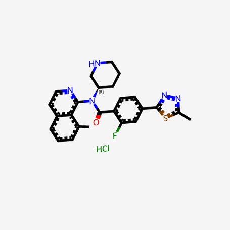 Cc1nnc(-c2ccc(C(=O)N(c3nccc4cccc(C)c34)[C@@H]3CCCNC3)c(F)c2)s1.Cl